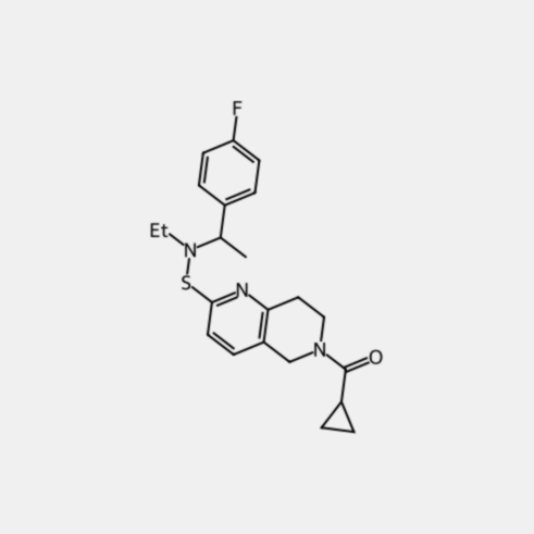 CCN(Sc1ccc2c(n1)CCN(C(=O)C1CC1)C2)C(C)c1ccc(F)cc1